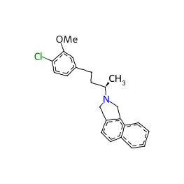 COc1cc(CC[C@@H](C)N2Cc3ccc4ccccc4c3C2)ccc1Cl